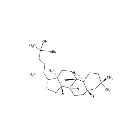 CCCCC(C)(O)CC[C@@H](C)[C@H]1CC[C@H]2[C@@H]3CC[C@H]4C[C@@](C)(O)CC[C@]4(C)[C@H]3CC[C@]12C